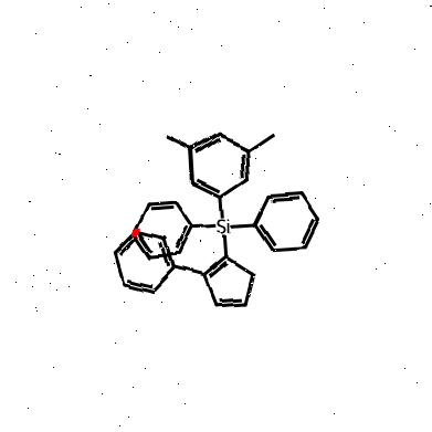 Cc1cc(C)cc([Si](C2=C(c3ccccc3)C=CC2)(c2ccccc2)c2ccccc2)c1